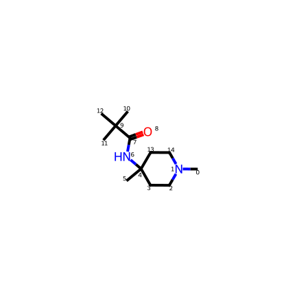 CN1CCC(C)(NC(=O)C(C)(C)C)CC1